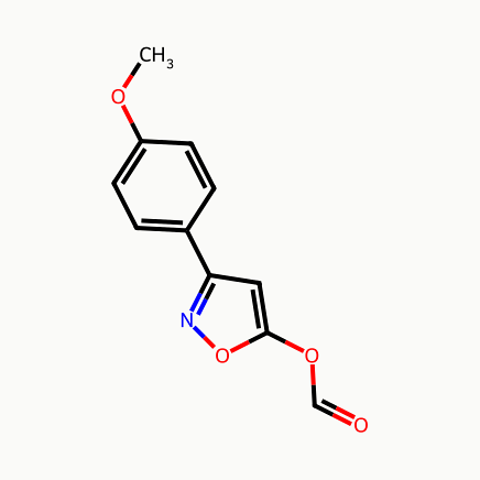 COc1ccc(-c2cc(OC=O)on2)cc1